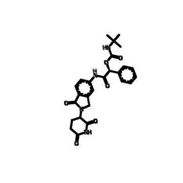 CC(C)(C)NC(=O)O[C@H](C(=O)Nc1ccc2c(c1)CN(C1CCC(=O)NC1=O)C2=O)c1ccccc1